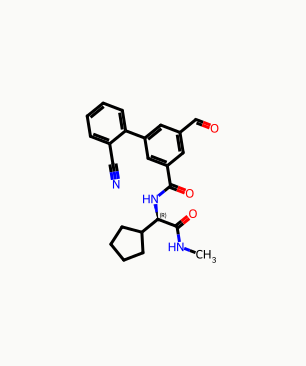 CNC(=O)[C@H](NC(=O)c1cc(C=O)cc(-c2ccccc2C#N)c1)C1CCCC1